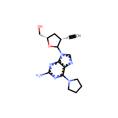 C#C[C@H]1C[C@@H](CO)OC1n1cnc2c(N3CCCC3)nc(N)nc21